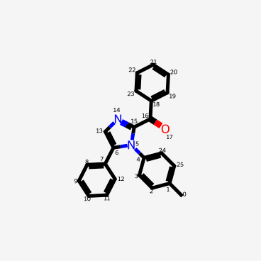 Cc1ccc(-n2c(-c3ccccc3)cnc2C(=O)c2ccccc2)cc1